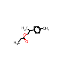 CCC(=O)OCC(C)c1ccc(C)cc1